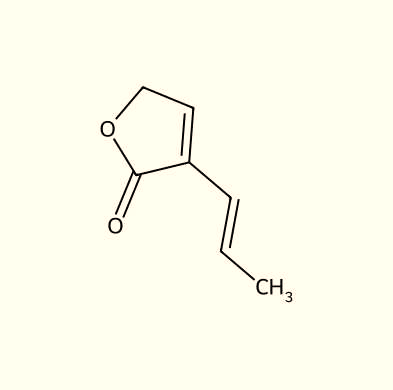 CC=CC1=CCOC1=O